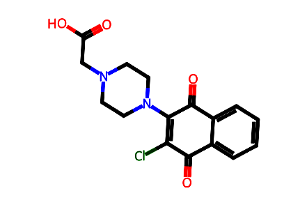 O=C(O)CN1CCN(C2=C(Cl)C(=O)c3ccccc3C2=O)CC1